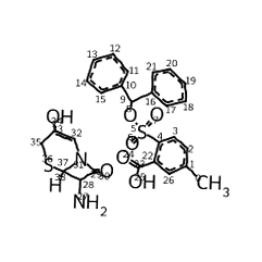 Cc1ccc(S(=O)(=O)OC(c2ccccc2)c2ccccc2)c(C(=O)O)c1.NC1C(=O)N2C=C(O)CS[C@@H]12